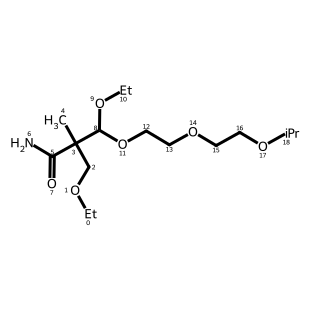 CCOCC(C)(C(N)=O)C(OCC)OCCOCCOC(C)C